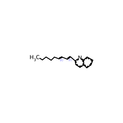 CCCCC/C=C/C=C/c1ccc2ccccc2n1